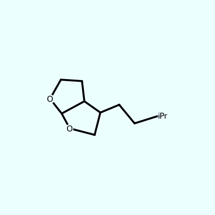 CC(C)CCC1COC2OCCC12